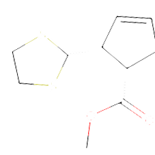 COC(=O)[C@H]1CC=C[C@H]1C1SCCS1